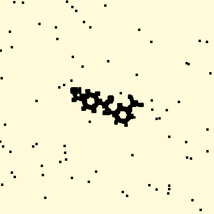 CN(C)c1cccc(OC(=O)c2ccc(CO)cc2)c1